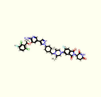 CC(Oc1cc(-c2cnn(C3CCC(CN4C(C)CN(c5cc6c(cc5F)C(=O)N(C5CCC(=O)NC5=O)C6=O)CC4C)CC3)c2)cnc1N)c1c(Cl)ccc(F)c1Cl